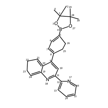 CC1(C)OB(C2=CC=C(c3cc(-c4ccccn4)nc4c3=CCCC=4)CC2)OC1(C)C